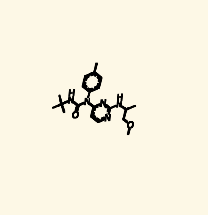 COCC(C)Nc1nccc(N(C(=O)NC(C)(C)C)c2ccc(C)cc2)n1